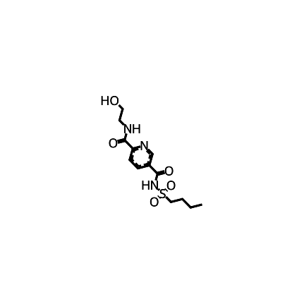 CCCCS(=O)(=O)NC(=O)c1ccc(C(=O)NCCO)nc1